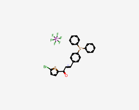 F[P-](F)(F)(F)(F)F.O=C(/C=C/c1ccc([S+](c2ccccc2)c2ccccc2)cc1)c1ccc(Br)s1